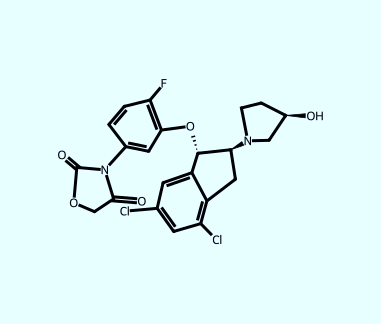 O=C1COC(=O)N1c1ccc(F)c(O[C@H]2c3cc(Cl)cc(Cl)c3C[C@@H]2N2CC[C@@H](O)C2)c1